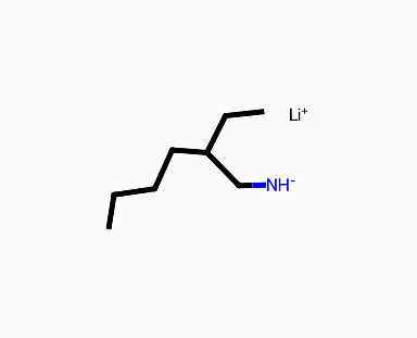 CCCCC(CC)C[NH-].[Li+]